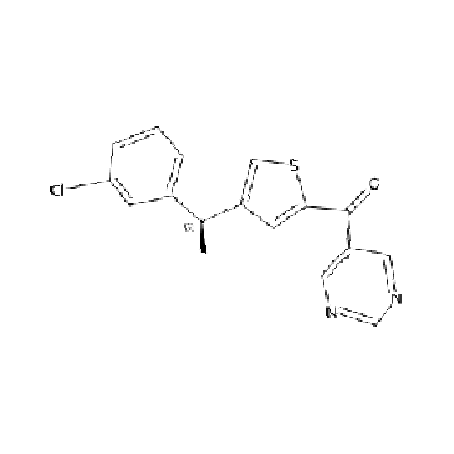 C[C@@H](c1cccc(Cl)c1)c1csc(C(=O)c2cncnc2)c1